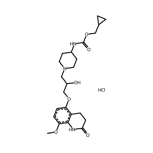 COc1ccc(OCC(O)CN2CCC(NC(=O)OCC3CC3)CC2)c2c1NC(=O)CC2.Cl